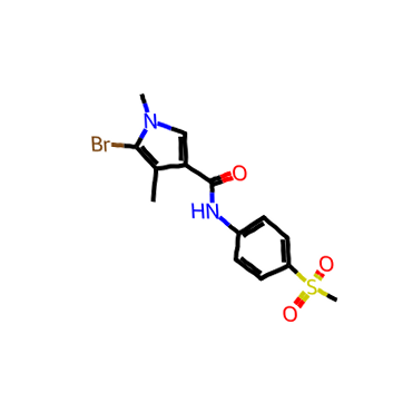 Cc1c(C(=O)Nc2ccc(S(C)(=O)=O)cc2)cn(C)c1Br